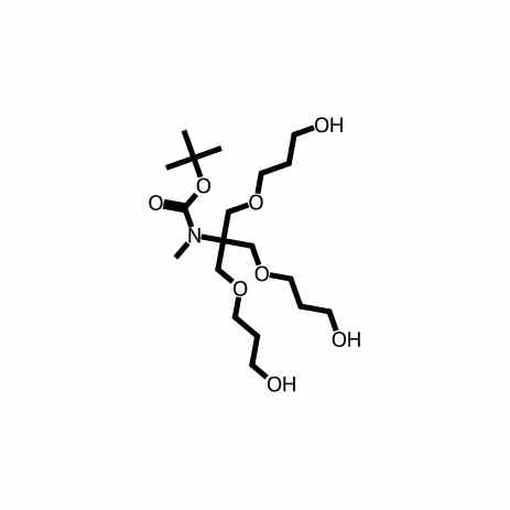 CN(C(=O)OC(C)(C)C)C(COCCCO)(COCCCO)COCCCO